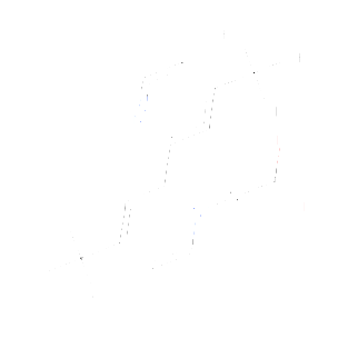 CC(C)(C)C1=CC(c2cc(C(C)(C)C)ccn2)[N]([Ni][CH](Br)Br)C=C1